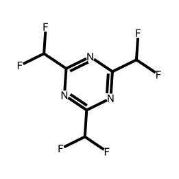 FC(F)c1nc(C(F)F)nc(C(F)F)n1